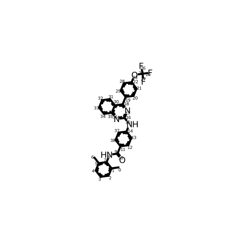 Cc1cccc(C)c1NC(=O)c1ccc(Nc2nc(-c3ccc(OC(F)(F)F)cc3)c3ccccc3n2)cc1